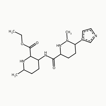 CCOC(=O)C1NC(C)CCC1NC(=O)C1CCC(n2ccnc2)N(C)N1